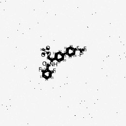 CS(=O)(=O)OCC(NC(=O)c1c(F)cccc1F)c1ccc(-c2ccc(SC(F)F)cc2)cc1